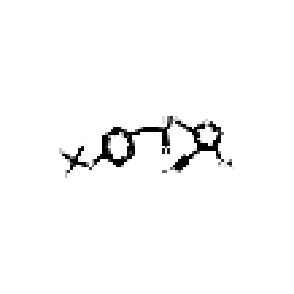 C#Cc1c(C)nsc1NC(=O)Cc1ccc(OC(F)(F)F)cc1